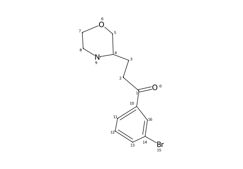 O=C(CCC1COCC[N]1)c1cccc(Br)c1